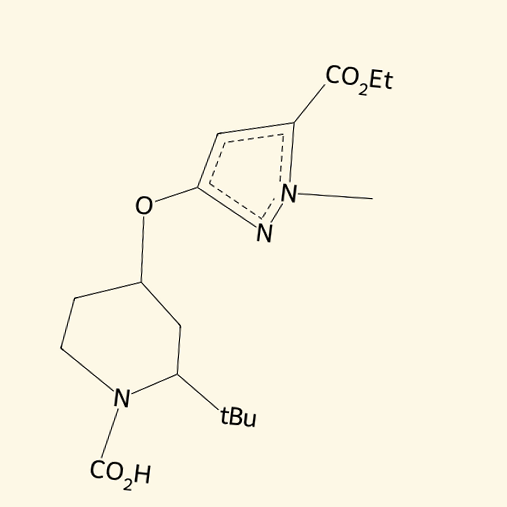 CCOC(=O)c1cc(OC2CCN(C(=O)O)C(C(C)(C)C)C2)nn1C